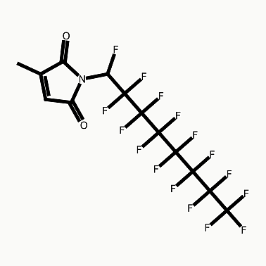 CC1=CC(=O)N(C(F)C(F)(F)C(F)(F)C(F)(F)C(F)(F)C(F)(F)C(F)(F)C(F)(F)F)C1=O